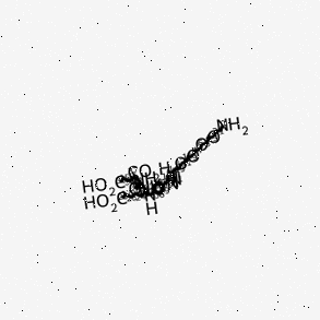 NCCOCCOCCOCCOCCn1cc(-c2ccc(NC(CCCCC(=O)O)NC(=O)N[C@@H](CCC(=O)O)C(=O)O)cc2)nn1